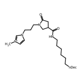 CCCCCCCCCCCCCCCCNC(=O)C1CC(=O)N(CCCn2cc[n+](C)c2)C1